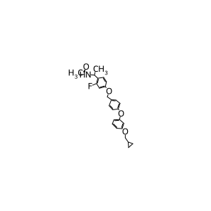 CC(=O)NC(C)c1ccc(OCc2ccc(Oc3cccc(OCC4CC4)c3)cc2)cc1F